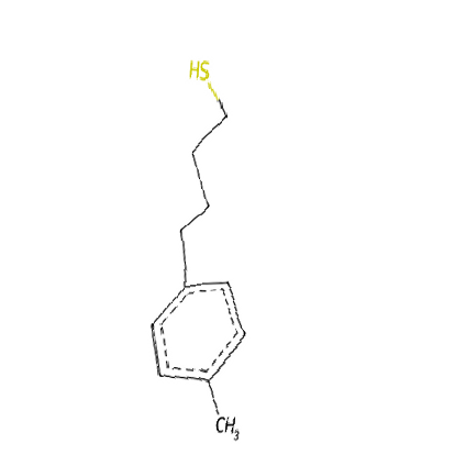 Cc1ccc(CCCCS)cc1